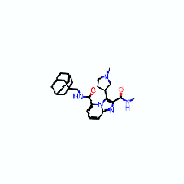 CNC(=O)c1nc2cccc(C(=O)NCC34CC5CC(CC(C5)C3)C4)n2c1C1CCN(C)C1